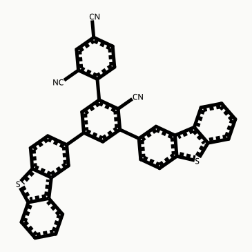 N#Cc1ccc(-c2cc(-c3ccc4sc5ccccc5c4c3)cc(-c3ccc4sc5ccccc5c4c3)c2C#N)c(C#N)c1